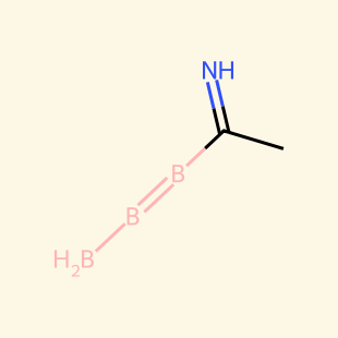 BB=BC(C)=N